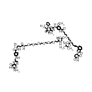 CC[C@@H]1C(=O)N(C)c2cnc(Nc3ccc(C(=O)NCCCOCCCN(CCC#Cc4cccc5c4CN(C4CCC(=O)NC4=O)C5=O)C(=O)OC(C)C(C)SSC[C@H](NC(=O)CCOCCOCCOCCOCCOCCOCCNC(=O)CC[C@@H](C)NC(=O)c4ccc(NCc5cnc6nc(N)[nH]c(=O)c6n5)cc4)C(=O)O)cc3OC)nc2N1C1CCCC1